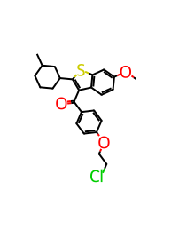 COc1ccc2c(C(=O)c3ccc(OCCCl)cc3)c(C3CCCC(C)C3)sc2c1